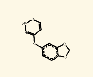 C1=CC(Oc2ccc3c(c2)OCO3)=NPO1